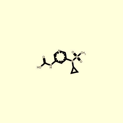 CS(=O)(=O)N(c1cncc(NC(=O)O)c1)C1CC1